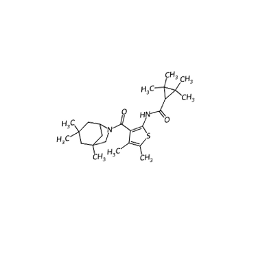 Cc1sc(NC(=O)C2C(C)(C)C2(C)C)c(C(=O)N2CC3(C)CC2CC(C)(C)C3)c1C